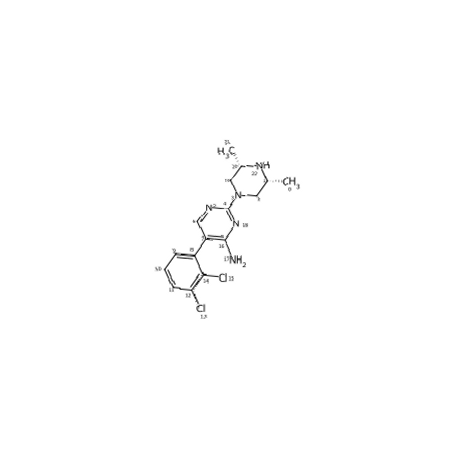 C[C@@H]1CN(c2ncc(-c3cccc(Cl)c3Cl)c(N)n2)C[C@H](C)N1